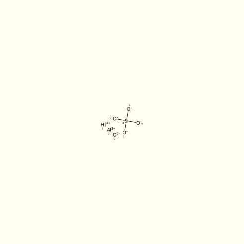 [Al+3].[Hf+4].[O-2].[O-][Si]([O-])([O-])[O-]